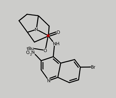 CC(C)(C)OC(=O)N1C2CCC1CC(Nc1c([N+](=O)[O-])cnc3ccc(Br)cc13)C2